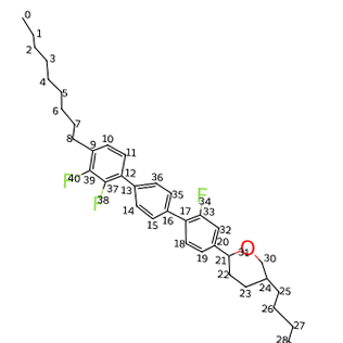 CCCCCCCCCc1ccc(-c2ccc(-c3ccc(C4CCC(CCCCC)CO4)cc3F)cc2)c(F)c1F